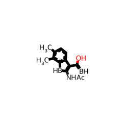 B=C(O)C1=C(NC(C)=O)Bc2c1ccc(C)c2C